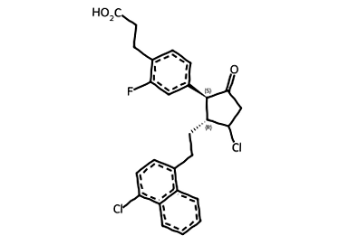 O=C(O)CCc1ccc([C@H]2C(=O)CC(Cl)[C@@H]2CCc2ccc(Cl)c3ccccc23)cc1F